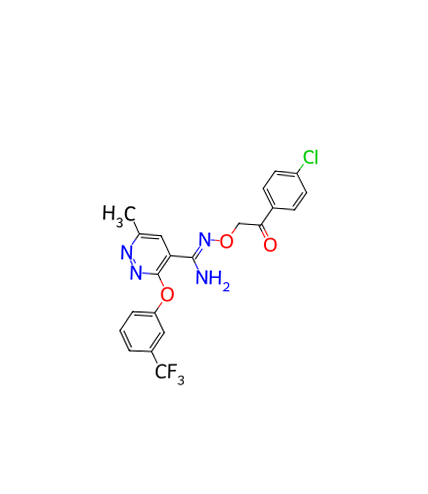 Cc1cc(/C(N)=N/OCC(=O)c2ccc(Cl)cc2)c(Oc2cccc(C(F)(F)F)c2)nn1